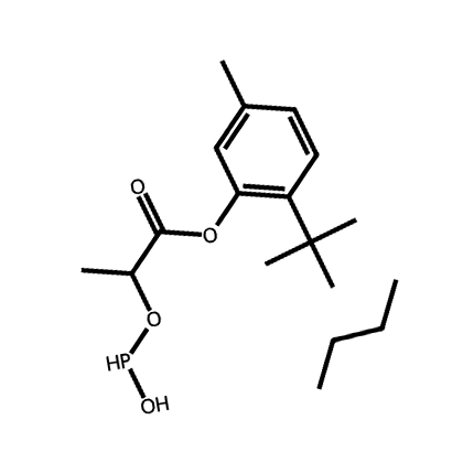 CCCC.Cc1ccc(C(C)(C)C)c(OC(=O)C(C)OPO)c1